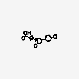 O=C1CC(c2ccc(Cl)cc2)CN1C12CC(C(=O)O)(C1)C2